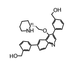 OCc1cccc(-c2ccc3ncc(-c4cccc(CO)c4)c(OCC[C@H]4CCCCN4)c3c2)c1